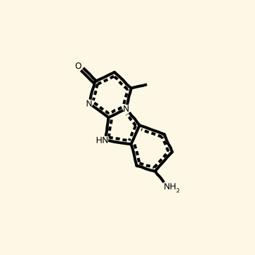 Cc1cc(=O)nc2[nH]c3cc(N)ccc3n12